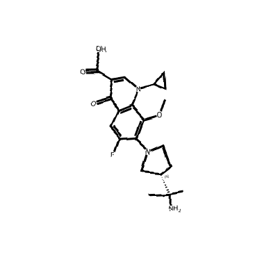 COc1c(N2CC[C@H](C(C)(C)N)C2)c(F)cc2c(=O)c(C(=O)O)cn(C3CC3)c12